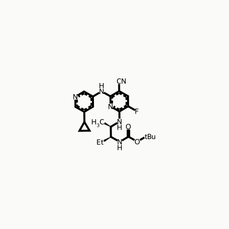 CC[C@H](NC(=O)OC(C)(C)C)[C@@H](C)Nc1nc(Nc2cncc(C3CC3)c2)c(C#N)cc1F